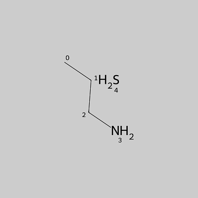 CCCN.S